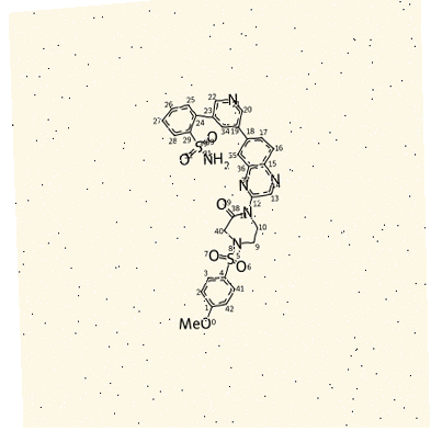 COc1ccc(S(=O)(=O)N2CCN(c3cnc4ccc(-c5cncc(-c6ccccc6S(N)(=O)=O)c5)cc4n3)C(=O)C2)cc1